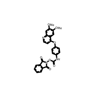 COc1cc2nccc(Oc3ccc(NC(=O)ON4C(=O)c5ccccc5C4=O)cc3)c2cc1OC